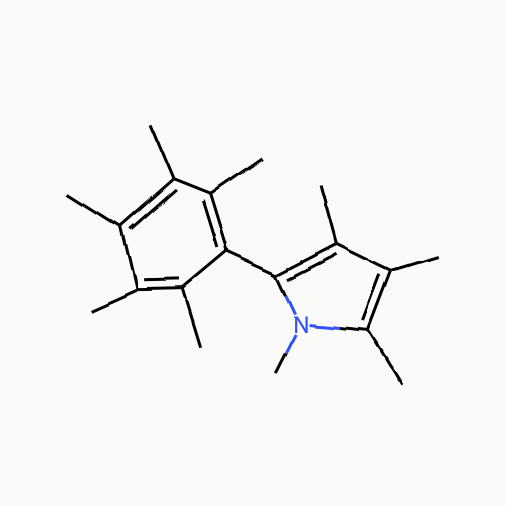 Cc1c(C)c(C)c(-c2c(C)c(C)c(C)n2C)c(C)c1C